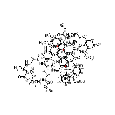 C=CCOC(=O)OC(=O)CC[C@H](NC(=O)[C@@H](CC(C)C)NC(=O)[C@@H](CC(C)C)NC(=O)[C@H](Cc1cn(C(=O)OC(C)(C)C)c2ccccc12)NC(=O)[C@H](CCNC(=O)OC(C)(C)C)NC(=O)[C@H](CCNC(=O)OC(C)(C)C)NC(=O)[C@H](CCCCNC(C)=C1C(=O)CC(C)(C)CC1=O)NC(=O)[C@H](NC(=O)[C@H](CCNC(=O)OC(C)(C)C)NC(=O)OCC1c2ccccc2-c2ccccc21)[C@H](C)OC(C)(C)C)C(=O)O